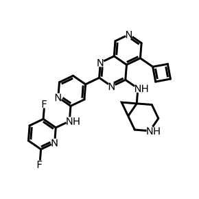 Fc1ccc(F)c(Nc2cc(-c3nc(NC45CCNCC4C5)c4c(C5=CC=C5)cncc4n3)ccn2)n1